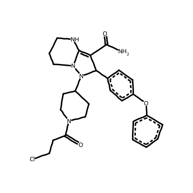 NC(=O)C1=C2NCCCN2N(C2CCN(C(=O)CCCl)CC2)C1c1ccc(Oc2ccccc2)cc1